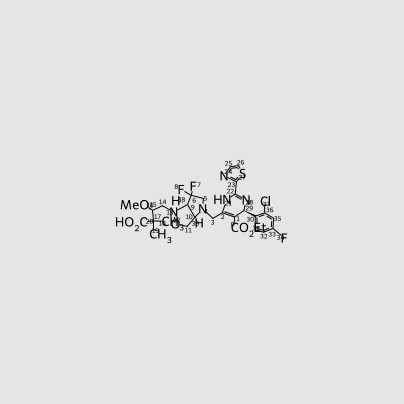 CCOC(=O)C1=C(CN2CC(F)(F)[C@H]3[C@@H]2CON3C[C@H](OC)C(C)(C)C(=O)O)NC(c2nccs2)=N[C@H]1c1ccc(F)cc1Cl